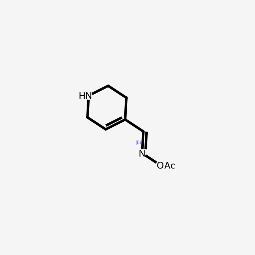 CC(=O)O/N=C/C1=CCNCC1